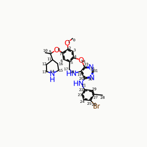 COc1cc2c(cc1OC(C)C1CCNCC1)CNc1c(Nc3ccc(Br)c(C)c3)ncnc1O2